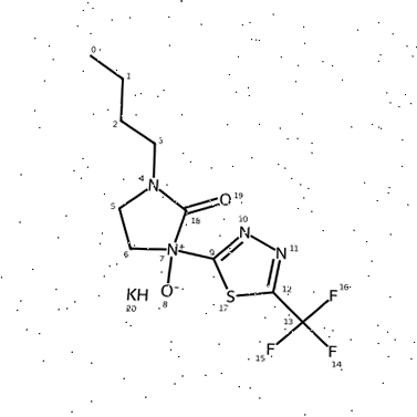 CCCCN1CC[N+]([O-])(c2nnc(C(F)(F)F)s2)C1=O.[KH]